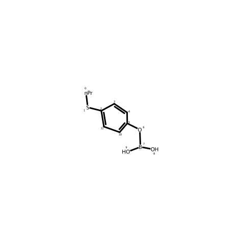 CCCSc1ccc(OB(O)O)cc1